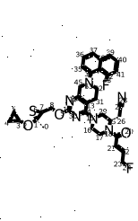 C[C@]1(OC2CC2)SC1COc1nc2c(c(N3CCN(C(=O)/C=C/CF)[C@@H](CC#N)C3)n1)CCN(c1cccc3cccc(F)c13)C2